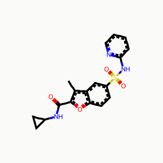 Cc1c(C(=O)NC2CC2)oc2ccc(S(=O)(=O)Nc3ccccn3)cc12